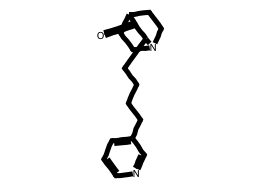 O=C1C2CCN(CC2)C1CCCCc1cccnc1